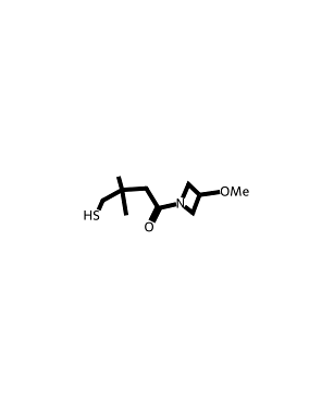 COC1CN(C(=O)CC(C)(C)CS)C1